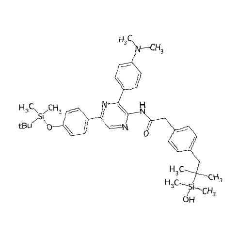 CN(C)c1ccc(-c2nc(-c3ccc(O[Si](C)(C)C(C)(C)C)cc3)cnc2NC(=O)Cc2ccc(CC(C)(C)[Si](C)(C)O)cc2)cc1